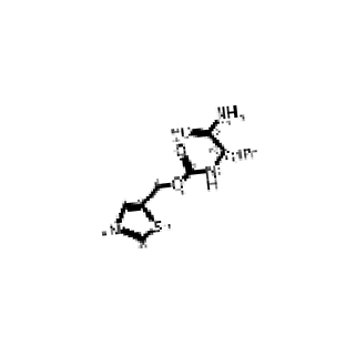 CC(C)[C@H](NC(=O)OCc1cncs1)C(N)=O